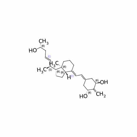 C=C1[C@H](O)CC(=C/C=C2\CCC[C@]3(C)[C@@H]([C@@H](C)/C=C/C[C@@H](C)O)CC[C@@H]23)C[C@H]1O